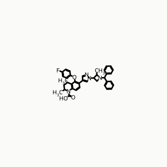 CC1C[C@H](C)c2c(ccc(-c3cnn(C4CN(C(c5ccccc5)c5ccccc5)C4C)c3)c2Oc2ccc(F)cc2)N1C(=O)O